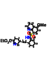 CCOC(=O)c1ccc(C#Cc2ccccc2NS(=O)(=O)c2ccc(OC)c3cccnc23)cn1